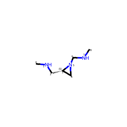 CNC[C@H]1CN1CNC